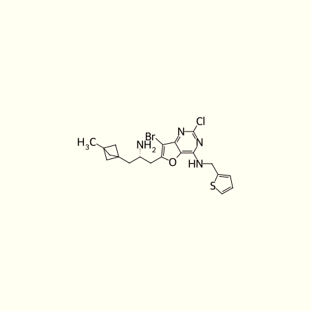 CC12CC(C[C@H](N)Cc3oc4c(NCc5cccs5)nc(Cl)nc4c3Br)(C1)C2